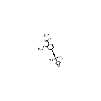 COC(=O)c1ccc(C#CC(C)(C)C2COC2)cc1OC